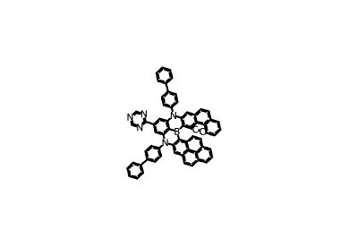 c1ccc(-c2ccc(N3c4cc(-c5ncncn5)cc5c4B(c4c3cc3ccc6cccc7ccc4c3c67)c3c(cc4ccc6cccc7ccc3c4c67)N5c3ccc(-c4ccccc4)cc3)cc2)cc1